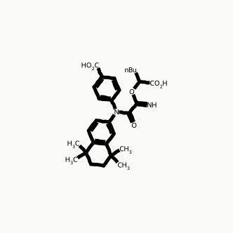 CCCCC(OC(=N)C(=O)N(c1ccc(C(=O)O)cc1)c1ccc2c(c1)C(C)(C)CCC2(C)C)C(=O)O